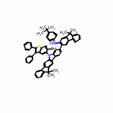 CC(C)(C)c1ccc(Nc2cc3c(cc2-c2ccc4c5cc6c(cc5n5c4c2Bc2cc4sc(-c7ccccc7)c(-c7ccccc7)c4cc2-5)-c2ccccc2C6(C)C)-c2ccccc2C3(C)C)cc1